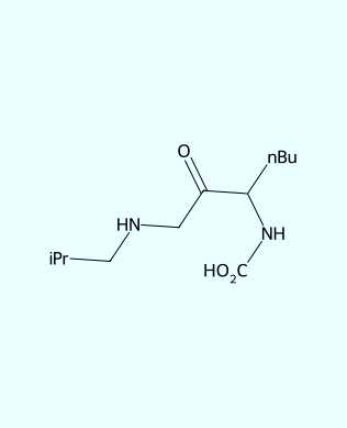 CCCCC(NC(=O)O)C(=O)CNCC(C)C